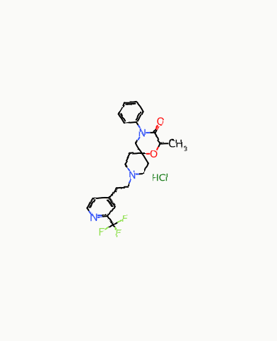 CC1OC2(CCN(CCc3ccnc(C(F)(F)F)c3)CC2)CN(c2ccccc2)C1=O.Cl